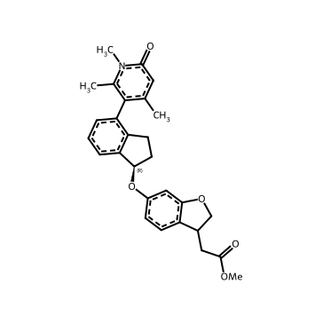 COC(=O)CC1COc2cc(O[C@@H]3CCc4c(-c5c(C)cc(=O)n(C)c5C)cccc43)ccc21